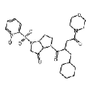 O=C1CN(S(=O)(=O)c2cccc[n+]2[O-])C2CCN(C(=O)C(CC(=O)N3CCOCC3)CC3CCCCC3)C12